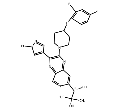 CCn1cc(-c2nc3cnc([C@H](O)C(C)(C)O)cc3nc2N2CCC(Oc3ccc(F)cc3F)CC2)cn1